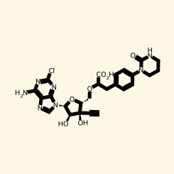 C#C[C@@]1(O)[C@@H](COC(Cc2ccc(N3CCCNC3=O)cc2)C(=O)O)O[C@@H](n2cnc3c(N)nc(Cl)nc32)[C@@H]1O